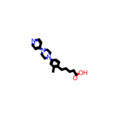 Cc1cc(N2CCN(c3ccncc3)CC2)ccc1CCCCC(=O)O